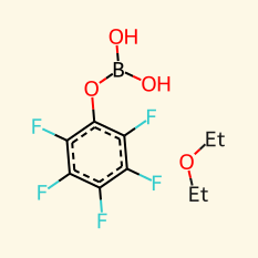 CCOCC.OB(O)Oc1c(F)c(F)c(F)c(F)c1F